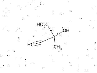 C#CC(C)(O)C(=O)O